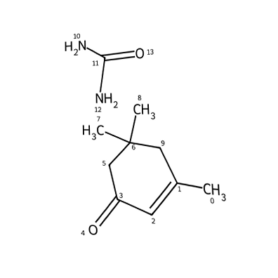 CC1=CC(=O)CC(C)(C)C1.NC(N)=O